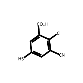 N#Cc1cc(S)cc(C(=O)O)c1Cl